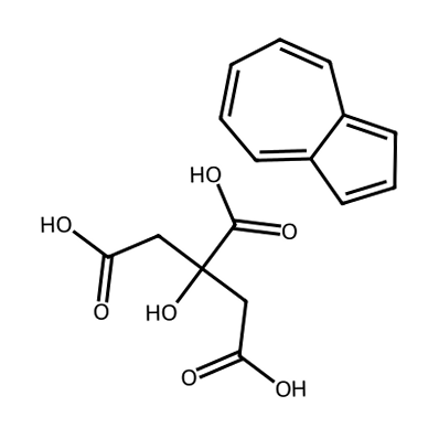 O=C(O)CC(O)(CC(=O)O)C(=O)O.c1ccc2cccc-2cc1